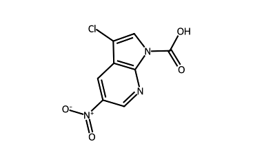 O=C(O)n1cc(Cl)c2cc([N+](=O)[O-])cnc21